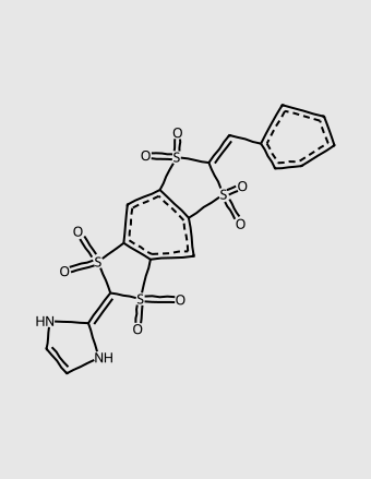 O=S1(=O)C(=Cc2ccccc2)S(=O)(=O)c2cc3c(cc21)S(=O)(=O)C(=C1NC=CN1)S3(=O)=O